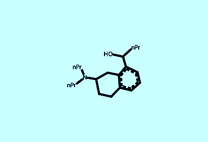 CCCC(O)c1cccc2c1CC(N(CCC)CCC)CC2